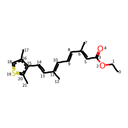 CCOC(=O)C=C(C)C=CC=C(C)C=Cc1c(C)csc1C